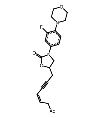 CC(=O)C/C=C\C#CCC1CN(c2ccc(N3CCOCC3)c(F)c2)C(=O)O1